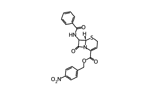 O=C(OCc1ccc([N+](=O)[O-])cc1)C1=CCS[C@H]2C(NC(=O)c3ccccc3)C(=O)N12